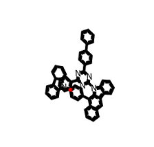 C1=CC2c3ccccc3N(c3ccc(-c4c5ccccc5cc5c6ccccc6n(-c6nc(-c7ccccc7)nc(-c7ccc(-c8ccccc8)cc7)n6)c45)cc3)C2C=C1